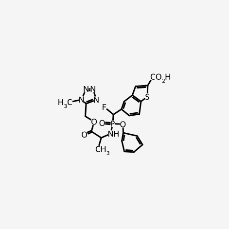 CC(NP(=O)(Oc1ccccc1)C(F)c1ccc2sc(C(=O)O)cc2c1)C(=O)OCc1nnnn1C